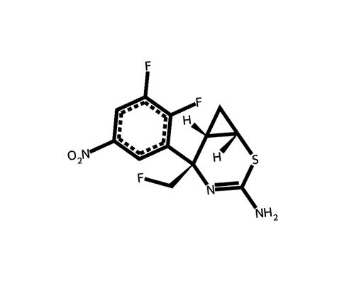 NC1=N[C@](CF)(c2cc([N+](=O)[O-])cc(F)c2F)[C@@H]2C[C@@H]2S1